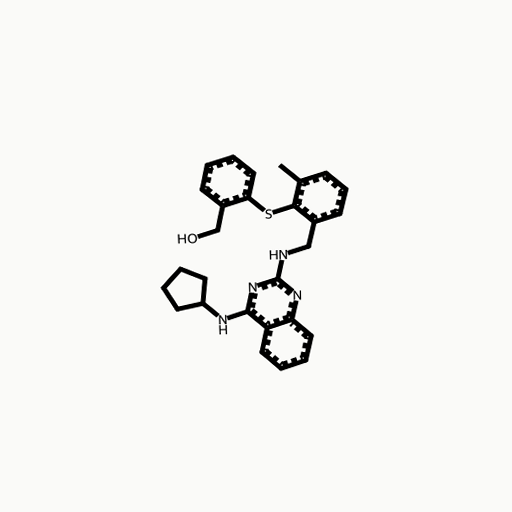 Cc1cccc(CNc2nc(NC3CCCC3)c3ccccc3n2)c1Sc1ccccc1CO